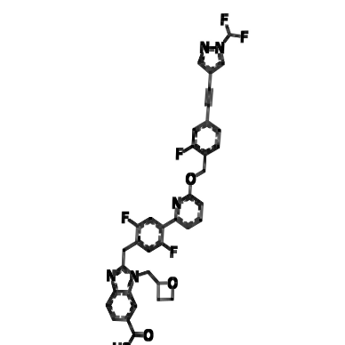 O=C(O)c1ccc2nc(Cc3cc(F)c(-c4cccc(OCc5ccc(C#Cc6cnn(C(F)F)c6)cc5F)n4)cc3F)n(CC3CCO3)c2c1